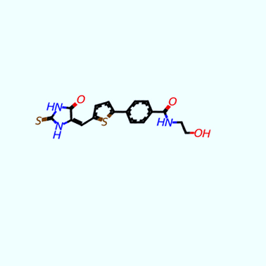 O=C1NC(=S)NC1=Cc1ccc(-c2ccc(C(=O)NCCO)cc2)s1